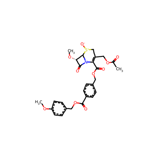 COc1ccc(COC(=O)c2ccc(COC(=O)C3=C(COC(C)=O)C[S+]([O-])C4[C@@H](OC)C(=O)N34)cc2)cc1